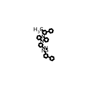 Cc1cc(-c2ccccc2)cc(N2c3ccccc3N(c3cccc(-c4nsc(-c5cccc(-c6ccccc6)c5)n4)c3)c3ccccc32)c1